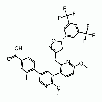 COc1ccc(-c2cc(-c3ccc(C(=O)O)cc3C)cnc2OC)c(CC2=NO[C@H](c3cc(C(F)(F)F)cc(C(F)(F)F)c3)C2)n1